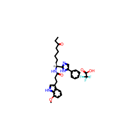 CCC(=O)CCCCC[C@H](NC(=O)CCc1c[nH]c2c(OC)cccc12)c1ncc(-c2ccccc2)[nH]1.O=C(O)C(F)(F)F